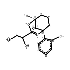 NCC(O)C1=N[C@]2(c3ccccc3Cl)CCC[C@H](O1)C2=O